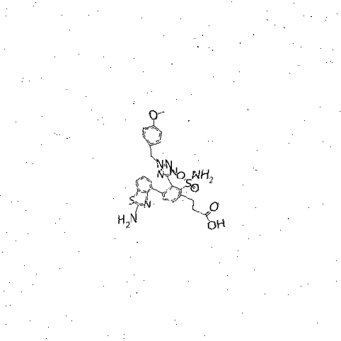 COc1ccc(Cn2nnc(-c3c(-c4cccc5sc(N)nc45)ccc(CCC(=O)O)c3S(N)(=O)=O)n2)cc1